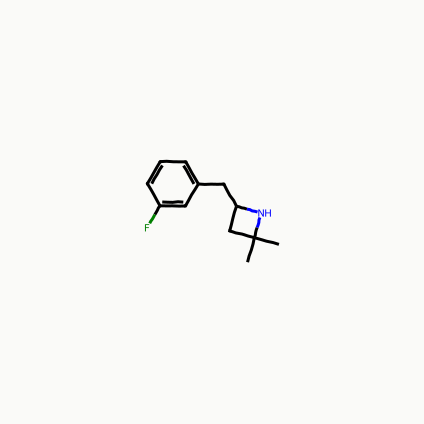 CC1(C)CC(Cc2cccc(F)c2)N1